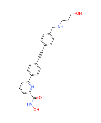 O=C(NO)c1cccc(-c2ccc(C#Cc3ccc(CNCCCO)cc3)cc2)n1